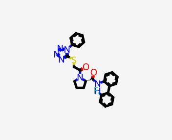 O=C(Nc1ccccc1-c1ccccc1F)[C@@H]1CCCN1C(=O)CSc1nnnn1-c1ccccc1